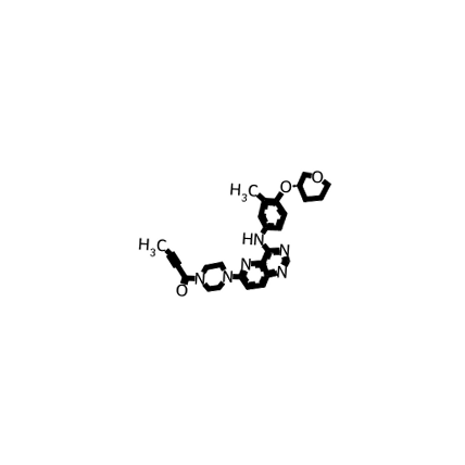 CC#CC(=O)N1CCN(c2ccc3ncnc(Nc4ccc(O[C@H]5CCCOC5)c(C)c4)c3n2)CC1